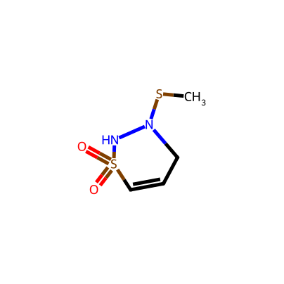 CSN1CC=CS(=O)(=O)N1